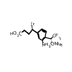 CC[C@H](CCC(=O)O)c1ccc([C@@H](OC)C(F)(F)F)c(N)c1